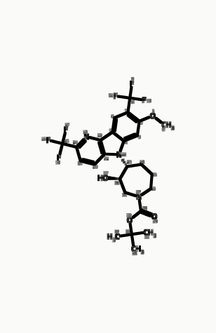 COc1cc2c(cc1C(F)(F)F)c1nc(C(F)(F)F)ccc1n2[C@@H]1CCCN(C(=O)OC(C)(C)C)C[C@H]1O